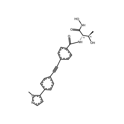 C[C@@H](O)[C@H](NC(=O)c1ccc(C#Cc2ccc(-c3ccnn3C)cc2)cc1)C(=O)NO